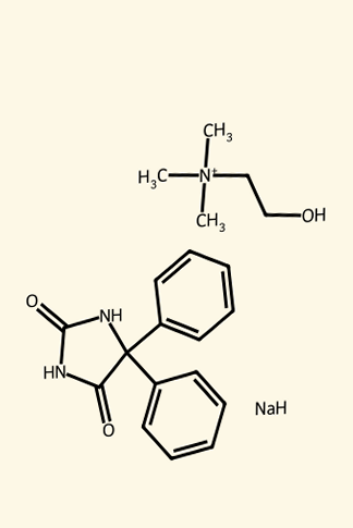 C[N+](C)(C)CCO.O=C1NC(=O)C(c2ccccc2)(c2ccccc2)N1.[NaH]